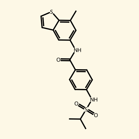 Cc1cc(NC(=O)c2ccc(NS(=O)(=O)C(C)C)cc2)cc2ccsc12